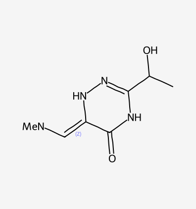 CN/C=C1\NN=C(C(C)O)NC1=O